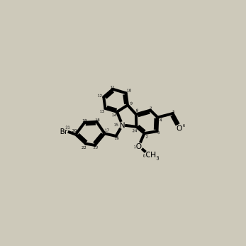 COc1cc(C=O)cc2c3ccccc3n(Cc3ccc(Br)cc3)c12